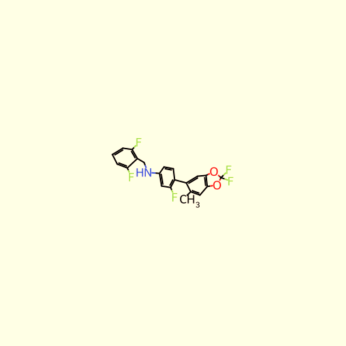 Cc1cc2c(cc1-c1ccc(NCc3c(F)cccc3F)cc1F)OC(F)(F)O2